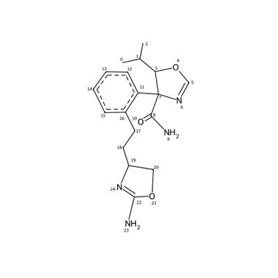 CC(C)C1OC=NC1(C(N)=O)c1ccccc1CCC1COC(N)=N1